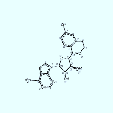 Nc1ncnc2c1ccn2[C@@H]1O[C@H]([C@@H]2OCCc3cc(Cl)ccc32)[C@@H](O)[C@H]1O